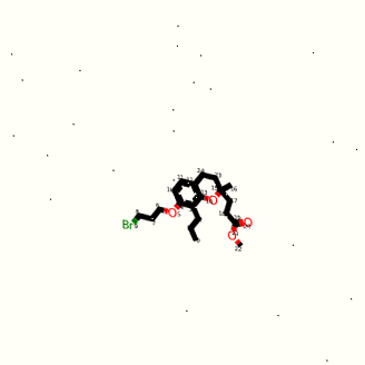 CCCc1c(OCCCBr)ccc2c1OC(C)(CCC(=O)OC)CC2